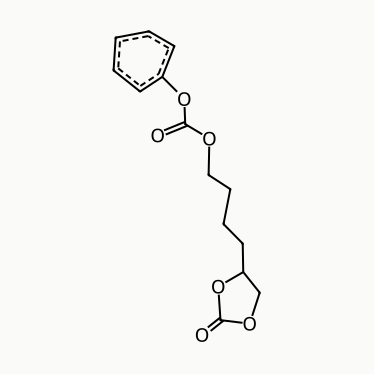 O=C(OCCCCC1COC(=O)O1)Oc1ccccc1